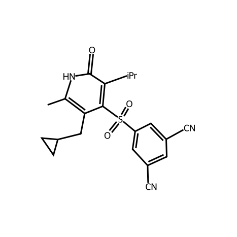 Cc1[nH]c(=O)c(C(C)C)c(S(=O)(=O)c2cc(C#N)cc(C#N)c2)c1CC1CC1